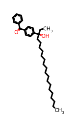 CCCCCCCCCCCCCCCCCCC(O)(CC)c1ccc(C(=O)c2ccccc2)cc1